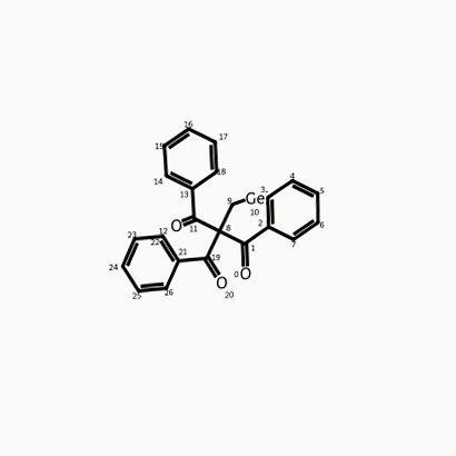 O=C(c1ccccc1)C([CH2][Ge])(C(=O)c1ccccc1)C(=O)c1ccccc1